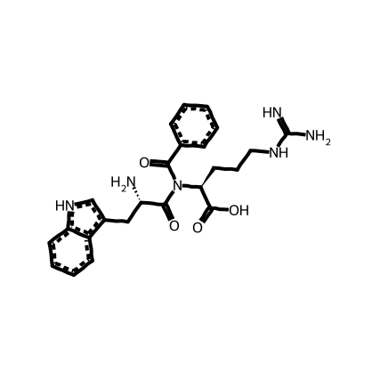 N=C(N)NCCC[C@@H](C(=O)O)N(C(=O)c1ccccc1)C(=O)[C@@H](N)Cc1c[nH]c2ccccc12